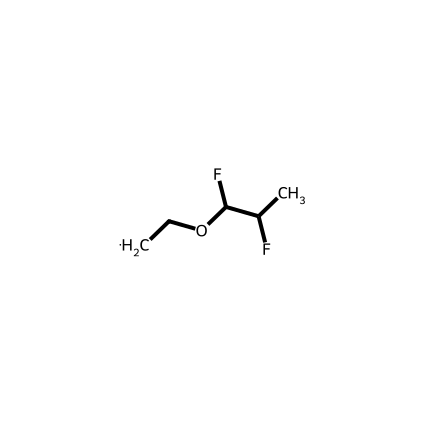 [CH2]COC(F)C(C)F